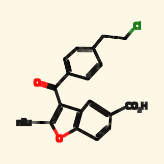 CCCCc1oc2ccc(C(=O)O)cc2c1C(=O)c1ccc(CCCl)cc1